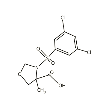 CC1(C(=O)O)COCN1S(=O)(=O)c1cc(Cl)cc(Cl)c1